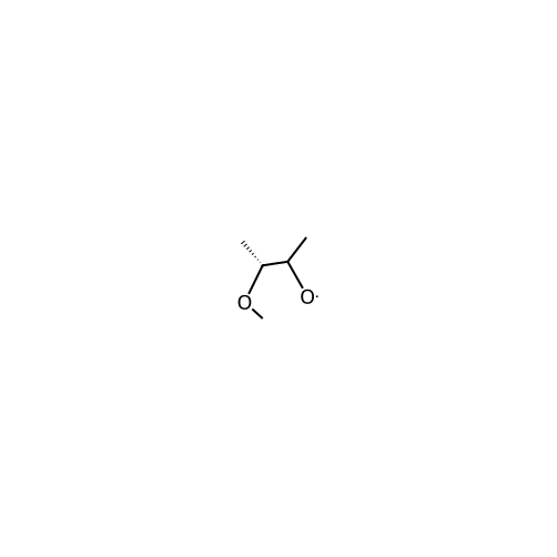 CO[C@H](C)C(C)[O]